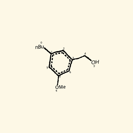 CCCCc1cc(CO)cc(OC)c1